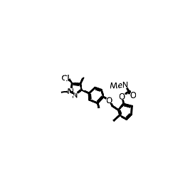 CNC(=O)Oc1cccc(C)c1COc1ccc(-c2nn(C)c(Cl)c2C)cc1C